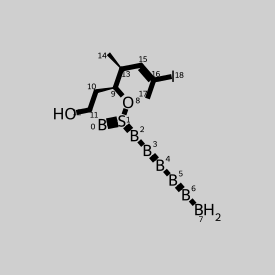 B#S(=BB=BB=BB)O[C@@H](CCO)[C@@H](C)/C=C(\C)I